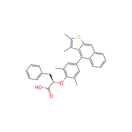 Cc1cc(-c2c3ccccc3cc3sc(C)c(C)c23)cc(C)c1O[C@H](Cc1ccccc1)C(=O)O